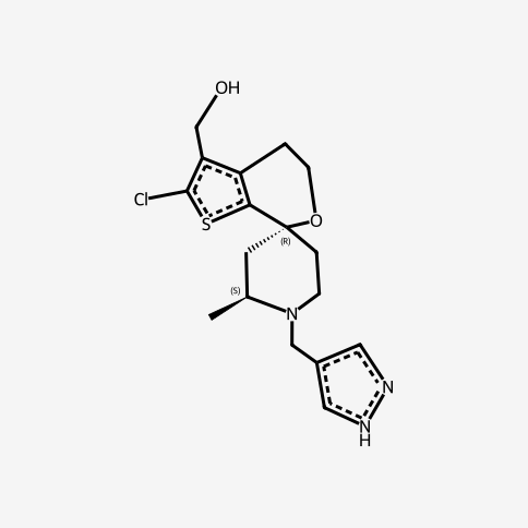 C[C@H]1C[C@@]2(CCN1Cc1cn[nH]c1)OCCc1c2sc(Cl)c1CO